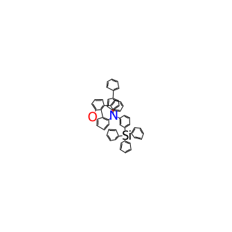 c1ccc(-c2ccc(N(c3cccc([Si](c4ccccc4)(c4ccccc4)c4ccccc4)c3)c3cccc4oc5cccc(-c6ccccc6)c5c34)cc2)cc1